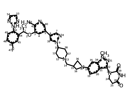 C[C@@H](Oc1cc(-c2cnn(C3CCN(CC4CN(c5ccc6c(N7CCC(=O)NC7=O)nn(C)c6c5)C4)CC3)c2)cnc1N)c1cc(F)ccc1-n1nccn1